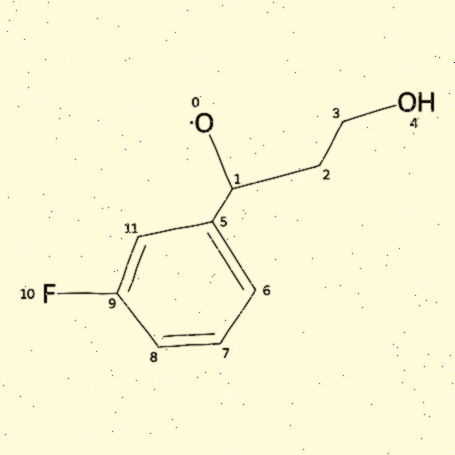 [O]C(CCO)c1cccc(F)c1